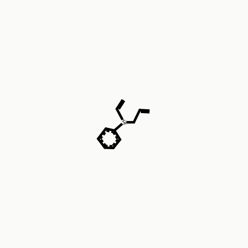 C=CC[Si](C=C)c1ccccc1